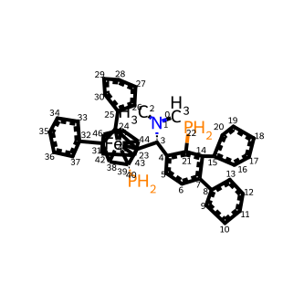 CN(C)[C@H](c1ccc(-c2ccccc2)c(-c2ccccc2)c1P)[C]12[C]3(c4ccccc4)[C]4(c5ccccc5)[CH]5[C@@]1(P)[Fe]54321678[CH]2[CH]1[CH]6[CH]7[CH]28